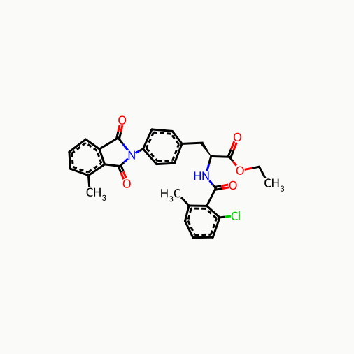 CCOC(=O)[C@H](Cc1ccc(N2C(=O)c3cccc(C)c3C2=O)cc1)NC(=O)c1c(C)cccc1Cl